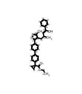 CCOC(=O)C1(c2ccc(-c3ccc(-c4onc(C)c4CC(C)/C=C(\O)c4ccccc4)cc3)cc2)CC1